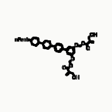 C=C(CO)C(=O)OCOc1cc(OCOC(=O)C(=C)CO)cc(-c2ccc(C3CCC(C4CCC(CCCCC)CC4)CC3)cc2)c1